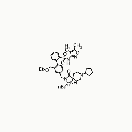 CCCC[C@@H]1NC2(CCN(C3CCCC3)CC2)C(=O)N1Cc1ccc(-c2ccccc2S(=O)(=O)Nc2noc(C)c2C)c(COCC)c1